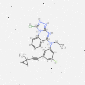 Fc1cc(C#CC2(C(F)(F)F)CC2)cc(N(CC(F)(F)F)c2nc3nnc(Cl)n3c3ccccc23)c1